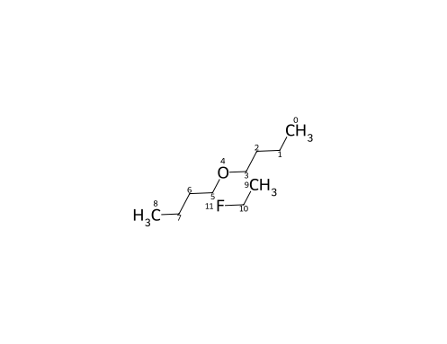 CCCCOCCCC.CCF